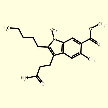 CCCCCc1c(CCC(N)=O)c2cc(C)c(C(=O)OC)cc2n1C